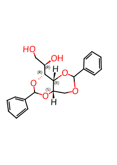 OC[C@@H](O)[C@H]1OC(c2ccccc2)O[C@H]2COC(c3ccccc3)O[C@@H]12